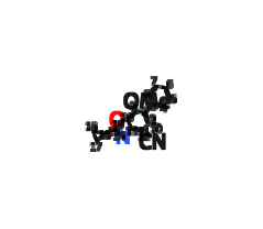 COc1c(-c2ccccc2)c(C)c(C#N)c2nc(C3CC3)oc12